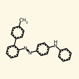 Cc1ccc(-c2ccccc2N=Nc2ccc(Nc3ccccc3)cc2)cc1